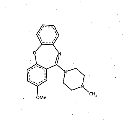 COc1ccc2c(c1)C(N1CCN(C)CC1)=Nc1ccccc1O2